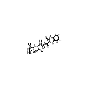 CNC(=O)[C@H](CCC(N)=O)NC(=O)NC(=O)[C@H](Cc1ccccc1)N(C)C